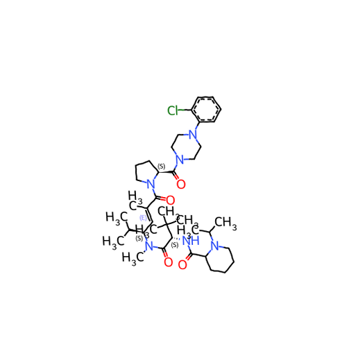 C/C(=C\[C@H](C(C)C)N(C)C(=O)[C@@H](NC(=O)C1CCCCN1C(C)C)C(C)(C)C)C(=O)N1CCC[C@H]1C(=O)N1CCN(c2ccccc2Cl)CC1